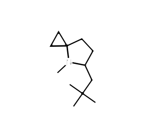 CN1C(CC(C)(C)C)CCC12CC2